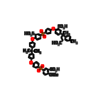 COc1ccc(S(=O)(=O)c2ccc(Oc3ccc(C(C)(C)c4ccc(Oc5ccc(S(=O)(=O)c6ccc(Oc7ccc(C(C)(CCC(=O)O)c8ccc(C)cc8)cc7S(=O)(=O)O)cc6)cc5S(=O)(=O)O)cc4)cc3)cc2)cc1S(=O)(=O)O